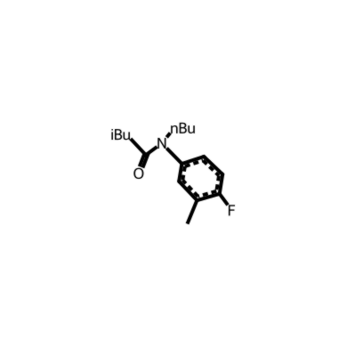 CCCCN(C(=O)C(C)CC)c1ccc(F)c(C)c1